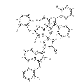 Cc1ccccc1Cn1c(C)c(C2=CC(c3c(C)n(Cc4ccccc4C)c4ccccc34)(c3c(C)n(Cc4ccccc4C)c4ccccc34)OC2=O)c2ccccc21